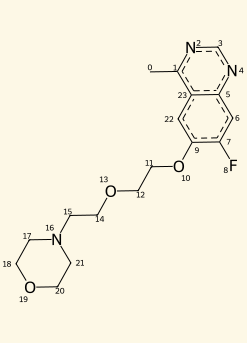 Cc1ncnc2cc(F)c(OCCOCCN3CCOCC3)cc12